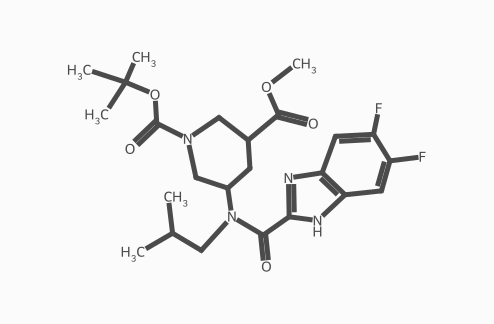 COC(=O)C1CC(N(CC(C)C)C(=O)c2nc3cc(F)c(F)cc3[nH]2)CN(C(=O)OC(C)(C)C)C1